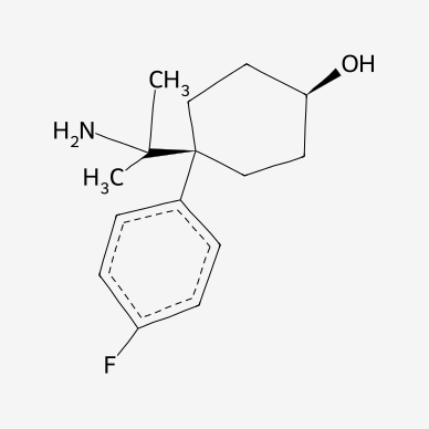 CC(C)(N)[C@]1(c2ccc(F)cc2)CC[C@H](O)CC1